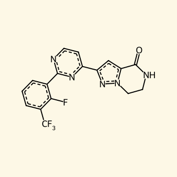 O=C1NCCn2nc(-c3ccnc(-c4cccc(C(F)(F)F)c4F)n3)cc21